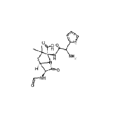 CC1(C)S[C@@H]2[C@H](NC=O)C(=O)N2[C@@]1(NC(=O)C(N)c1cccs1)C(=O)O